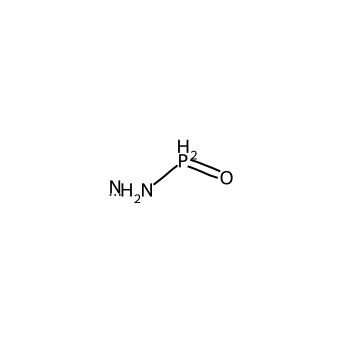 N[PH2]=O.[N]